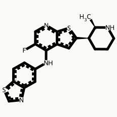 C[C@H]1NCCC[C@H]1c1cc2c(Nc3ccc4scnc4c3)c(F)cnc2s1